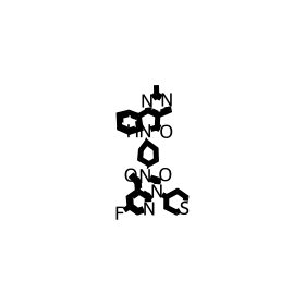 Cc1ncc(C(=O)N[C@H]2CC[C@@H](n3c(=O)c4cc(F)cnc4n(C4CCSCC4)c3=O)CC2)c(-c2ccccc2)n1